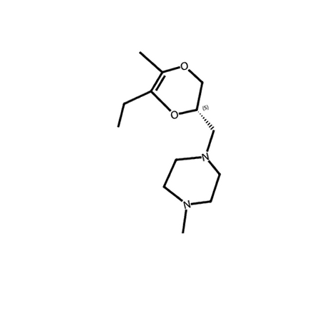 CCC1=C(C)OC[C@H](CN2CCN(C)CC2)O1